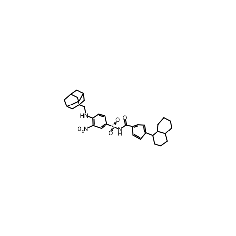 O=C(NS(=O)(=O)c1ccc(NCC23CC4CC(CC(C4)C2)C3)c([N+](=O)[O-])c1)c1ccc(C2CCCC3CCCCC32)cc1